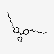 CCCCCCOc1ccc(N(c2ccc(OCCCCCC)cc2)c2cccs2)cc1